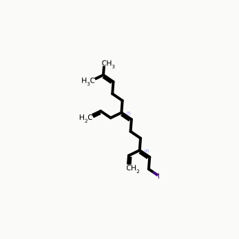 C=CC/C(=C\CC/C(C=C)=C/CI)CCC=C(C)C